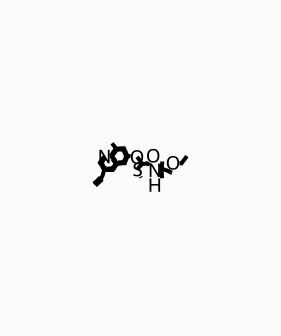 C#Cc1cnc2c(C)cc(OC(SC)C(=O)NC(C)(C)COCC)cc2c1